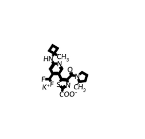 C[C@H]1CCCN1C(=O)c1nc(C(=O)[O-])sc1-c1cnc(NC2(C)CCC2)cc1C(F)F.[K+]